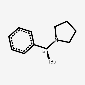 CC(C)(C)[C@@H](c1ccccc1)N1CCCC1